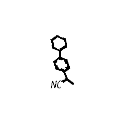 CC(C#N)c1ccc(C2=CCCCC2)cc1